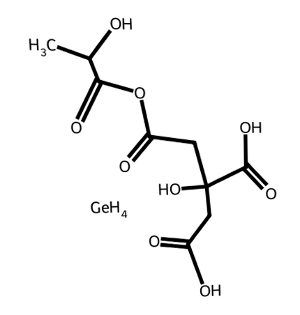 CC(O)C(=O)OC(=O)CC(O)(CC(=O)O)C(=O)O.[GeH4]